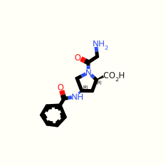 NCC(=O)N1C[C@H](NC(=O)c2ccccc2)C[C@@H]1C(=O)O